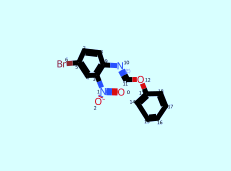 O=[N+]([O-])c1cc(Br)ccc1/N=C/Oc1ccccc1